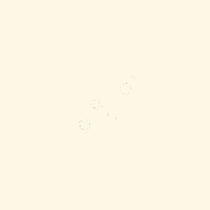 O=C(O)C[C@@H](c1cnc2c(c1)OCCO2)n1ccc(CCCc2ccc3c(n2)NCCC3)n1